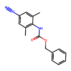 Cc1cc([N+]#N)cc(C)c1NC(=O)OCc1ccccc1